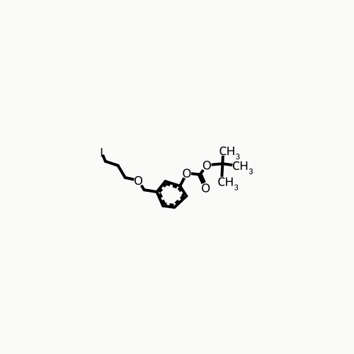 CC(C)(C)OC(=O)Oc1cccc(COCCCI)c1